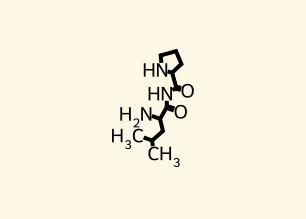 CC(C)CC(N)C(=O)NC(=O)C1CCCN1